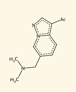 CC(=O)c1cnn2cc(CN(C)C)ccc12